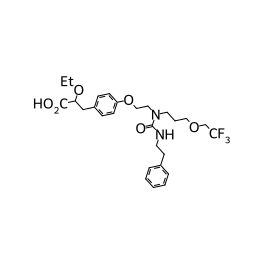 CCOC(Cc1ccc(OCCN(CCCOCC(F)(F)F)C(=O)NCCc2ccccc2)cc1)C(=O)O